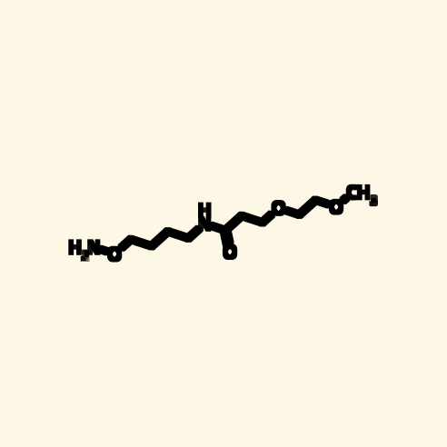 COCCOCCC(=O)NCCCCON